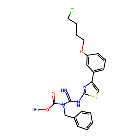 CC(C)(C)OC(=O)N(Cc1ccccc1)C(=N)Nc1nc(-c2cccc(OCCCCCl)c2)cs1